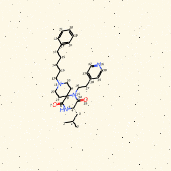 CC(C)C[C@@H]1NC(=O)C2(CCN(CCCCCc3ccccc3)CC2)N(CCc2ccncc2)C1=O